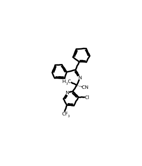 C[C@@](C#N)(N=C(c1ccccc1)c1ccccc1)c1ncc(C(F)(F)F)cc1Cl